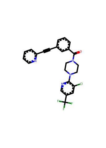 O=C(c1cccc(C#Cc2ccccn2)c1)N1CCN(c2ncc(C(F)(F)F)cc2Cl)CC1